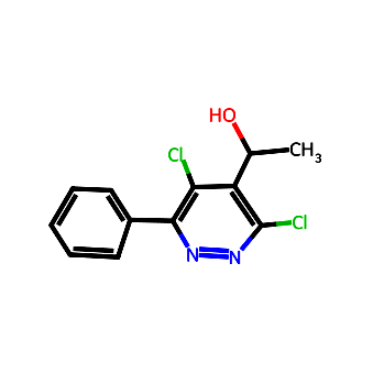 CC(O)c1c(Cl)nnc(-c2ccccc2)c1Cl